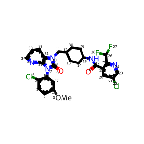 COc1ccc(Cl)c(-n2c(=O)n(CC3CCC(NC(=O)c4cc(Cl)cnc4C(F)F)CC3)c3cccnc32)c1